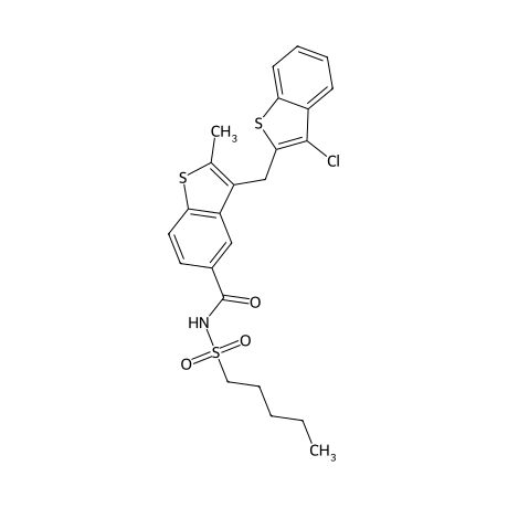 CCCCCS(=O)(=O)NC(=O)c1ccc2sc(C)c(Cc3sc4ccccc4c3Cl)c2c1